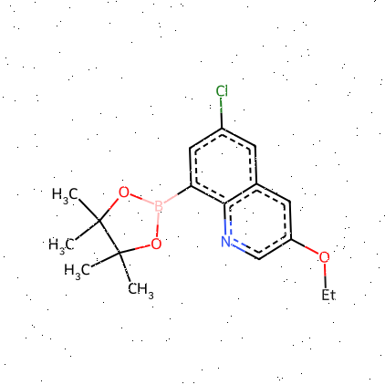 CCOc1cnc2c(B3OC(C)(C)C(C)(C)O3)cc(Cl)cc2c1